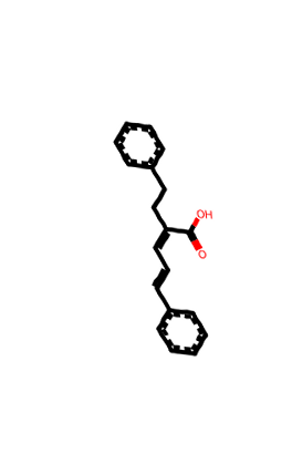 O=C(O)C(=CC=Cc1ccccc1)CCc1ccccc1